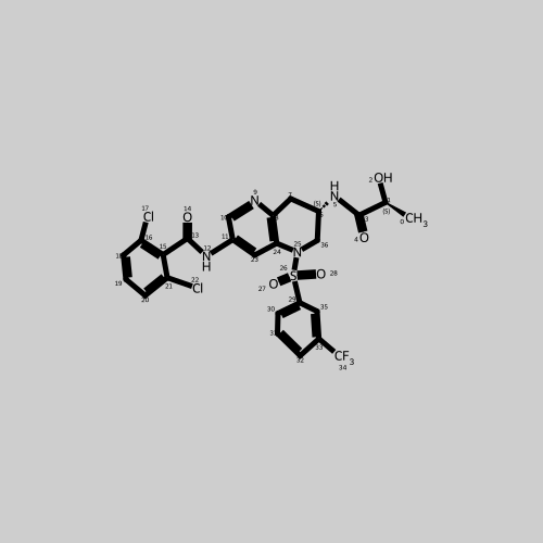 C[C@H](O)C(=O)N[C@H]1Cc2ncc(NC(=O)c3c(Cl)cccc3Cl)cc2N(S(=O)(=O)c2cccc(C(F)(F)F)c2)C1